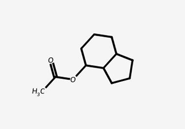 CC(=O)OC1CCCC2CCCC21